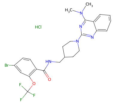 CN(C)c1nc(N2CCC(CNC(=O)c3ccc(Br)cc3OC(F)(F)F)CC2)nc2ccccc12.Cl